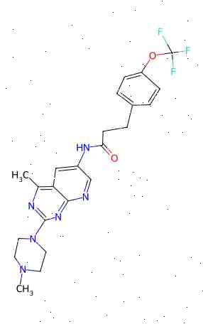 Cc1nc(N2CCN(C)CC2)nc2ncc(NC(=O)CCc3ccc(OC(F)(F)F)cc3)cc12